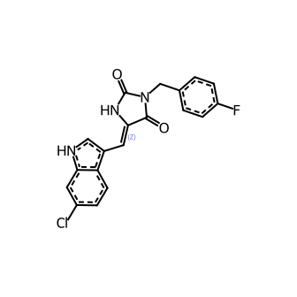 O=C1N/C(=C\c2c[nH]c3cc(Cl)ccc23)C(=O)N1Cc1ccc(F)cc1